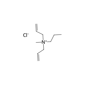 C=CC[N+](C)(CC=C)CCC.[Cl-]